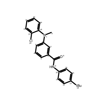 CN(c1cccc(C(=O)Nc2ccc(C(C)(C)C)cc2)c1)c1ccccc1Cl